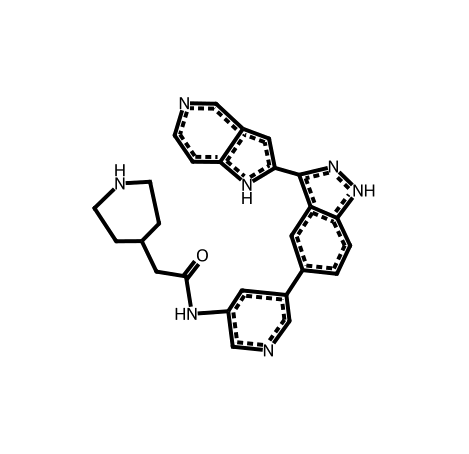 O=C(CC1CCNCC1)Nc1cncc(-c2ccc3[nH]nc(-c4cc5cnccc5[nH]4)c3c2)c1